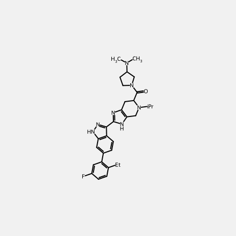 CCc1ccc(F)cc1-c1ccc2c(-c3nc4c([nH]3)CN(C(C)C)C(C(=O)N3CCC(N(C)C)C3)C4)n[nH]c2c1